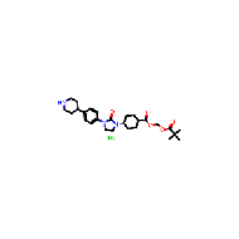 CC(C)(C)C(=O)OCOC(=O)[C@H]1CC[C@H](N2CCN(c3ccc(C4CCNCC4)cc3)C2=O)CC1.Cl